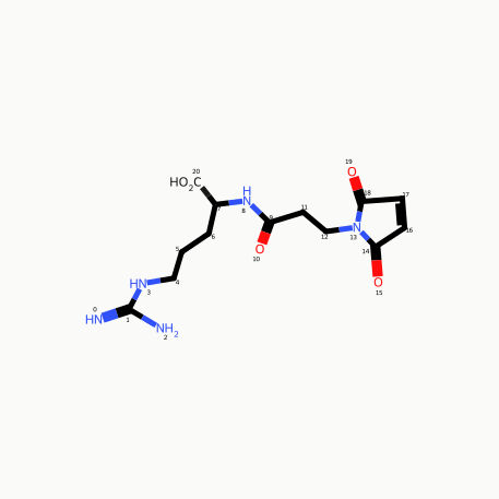 N=C(N)NCCCC(NC(=O)CCN1C(=O)C=CC1=O)C(=O)O